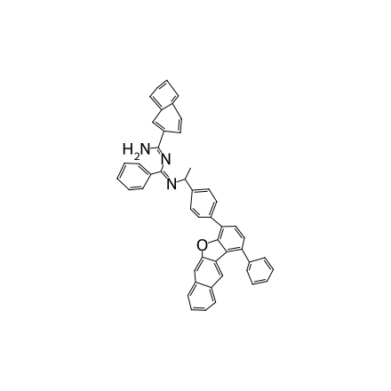 CC(/N=C(\N=C(/N)c1ccc2ccccc2c1)c1ccccc1)c1ccc(-c2ccc(-c3ccccc3)c3c2oc2cc4ccccc4cc23)cc1